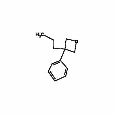 [CH2]CCC1(c2ccccc2)COC1